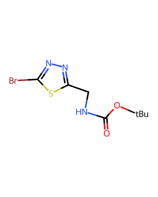 CC(C)(C)OC(=O)NCc1nnc(Br)s1